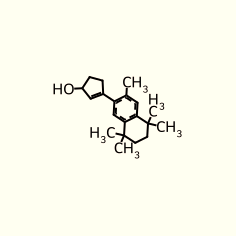 Cc1cc2c(cc1C1=CC(O)CC1)C(C)(C)CCC2(C)C